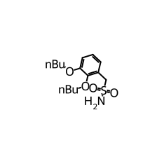 CCCCOc1cccc(CS(N)(=O)=O)c1OCCCC